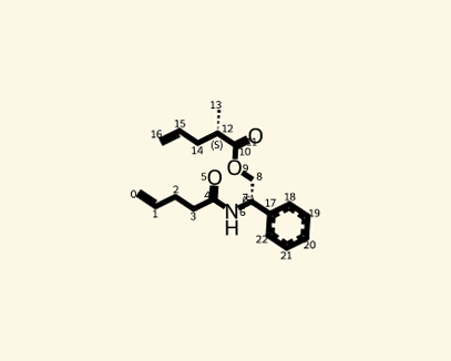 C=CCCC(=O)N[C@H](COC(=O)[C@@H](C)CC=C)c1ccccc1